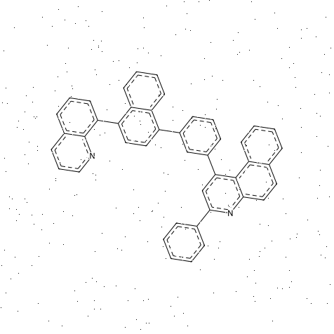 c1ccc(-c2cc(-c3cccc(-c4ccc(-c5cccc6cccnc56)c5ccccc45)c3)c3c(ccc4ccccc43)n2)cc1